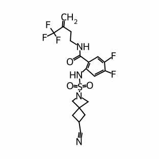 C=C(CCNC(=O)c1cc(F)c(F)cc1NS(=O)(=O)N1CC2(CC(C#N)C2)C1)C(F)(F)F